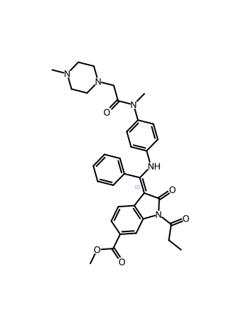 CCC(=O)N1C(=O)/C(=C(\Nc2ccc(N(C)C(=O)CN3CCN(C)CC3)cc2)c2ccccc2)c2ccc(C(=O)OC)cc21